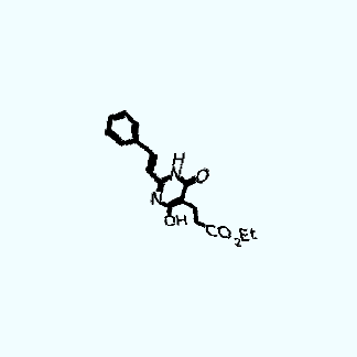 CCOC(=O)CCc1c(O)nc(C=Cc2ccccc2)[nH]c1=O